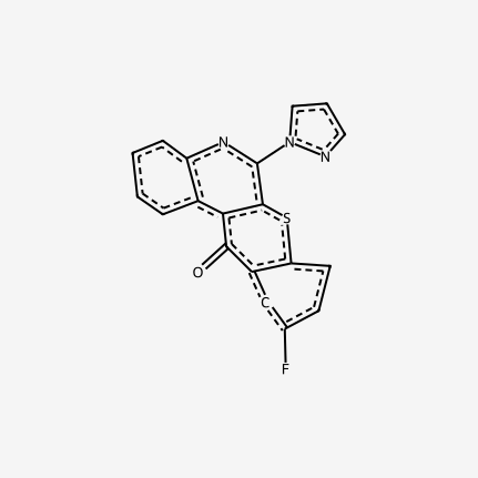 O=c1c2cc(F)ccc2sc2c(-n3cccn3)nc3ccccc3c12